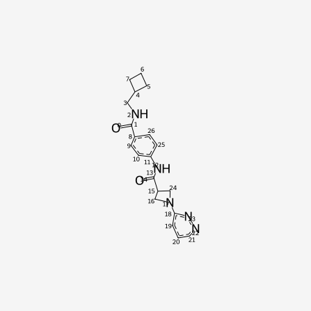 O=C(NCC1CCC1)c1ccc(NC(=O)C2CN(c3cccnn3)C2)cc1